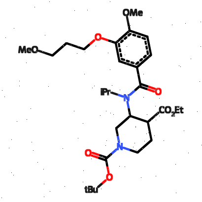 CCOC(=O)C1CCN(C(=O)OC(C)(C)C)CC1N(C(=O)c1ccc(OC)c(OCCCOC)c1)C(C)C